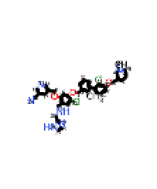 Cc1c(COc2cc(OCc3cncc(C#N)c3)c(CNCc3ncc[nH]3)cc2Cl)cccc1-c1cccc(OCC2CCCN(C)C2)c1Cl